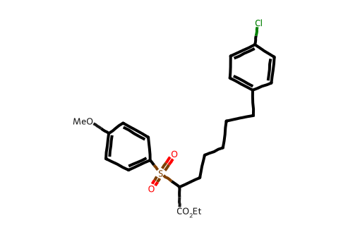 CCOC(=O)C(CCCCCc1ccc(Cl)cc1)S(=O)(=O)c1ccc(OC)cc1